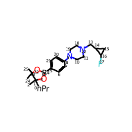 CCCC1(C)OB(c2ccc(N3CCN(CC4CC4F)CC3)cc2)OC1(C)C